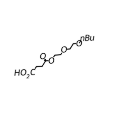 CCCCOCCOCCOC(=O)CCC(=O)O